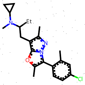 CCC(Cc1c(C)nn2c(-c3ccc(Cl)cc3C)c(C)oc12)N(C)C1CC1